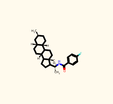 C[C@H]1CC[C@@H]2C3CC[C@@]4(C)C(CCC4[C@@H](C)NC(=O)c4ccc(F)cc4)[C@@H]3CC[C@@H]2C1